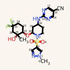 Cn1cc(S(=O)(=O)N2CCC(Nc3ncc(C#N)cn3)CC2OC2CCC(F)(F)CC2(C)O)cn1